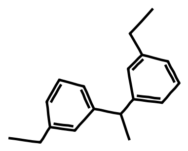 CCc1cccc(C(C)c2cccc(CC)c2)c1